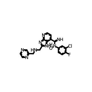 N=C(c1ccnc2nc(CNCc3cnccn3)[nH]c12)N(O)c1ccc(F)c(Cl)c1